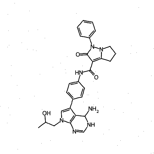 CC(O)Cn1cc(-c2ccc(NC(=O)c3c4n(n(-c5ccccc5)c3=O)CCC4)cc2)c2c1N=CNC2N